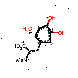 CNC(Cc1ccc(O)c(O)c1)C(=O)O.O